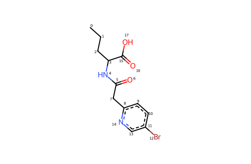 CCCC(NC(=O)Cc1ccc(Br)cn1)C(=O)O